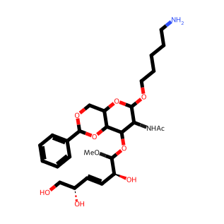 COC(OC1C(NC(C)=O)C(OCCCCCN)OC2COC(c3ccccc3)OC21)[C@@H](O)/C=C/[C@H](O)CO